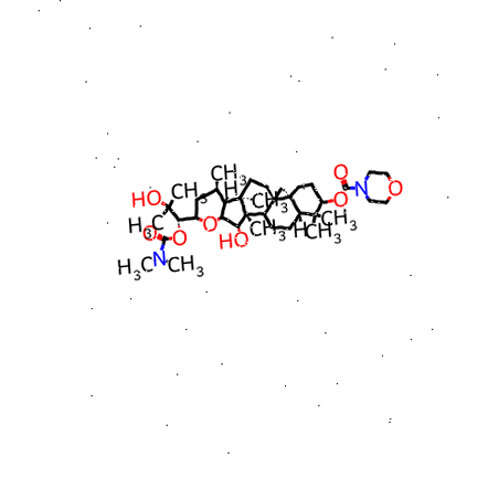 C[C@@H]1CC([C@H](OC(=O)N(C)C)C(C)(C)O)OC2[C@H]1[C@@]1(C)CC[C@@]34C[C@@]35CCC(OC(=O)N3CCOCC3)C(C)(C)[C@@H]5CCC4[C@]1(C)[C@H]2O